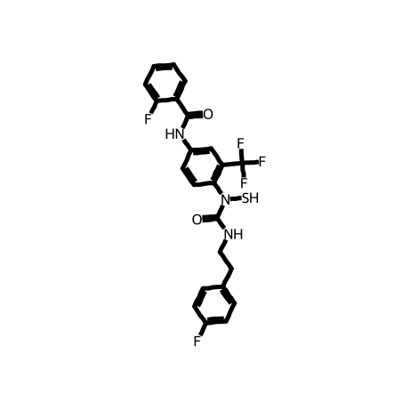 O=C(Nc1ccc(N(S)C(=O)NCCc2ccc(F)cc2)c(C(F)(F)F)c1)c1ccccc1F